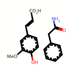 COc1cc(/C=C/C(=O)O)ccc1O.NC(=O)Cc1ccccc1